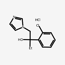 CCC(O)(Cn1ccnc1)c1ccccc1Cl.Cl